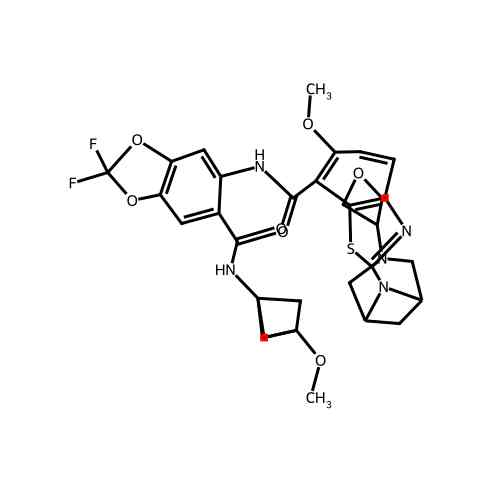 COc1ccc2nc(N3C4CC3CN(C3COC3)C4)sc2c1C(=O)Nc1cc2c(cc1C(=O)NC13CC(OC)(C1)C3)OC(F)(F)O2